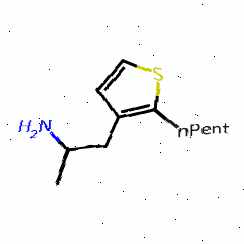 CCCCCc1sccc1CC(C)N